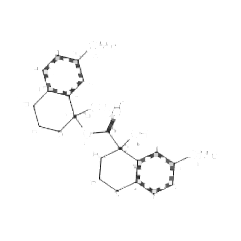 COc1ccc2c(c1)C(O)(C(=O)OC1(C(=O)O)CCCc3ccc(OC)cc31)CCC2